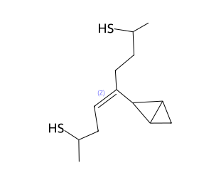 CC(S)C/C=C(/CCC(C)S)C1C2CC21